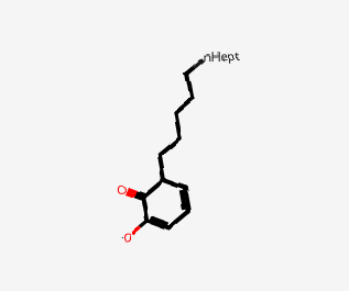 CCCCCCCCCCCCC1C=CC=C([O])C1=O